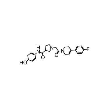 O=C(NC1=CCC(O)C=C1)C1CCN(CC(=O)N2CC=C(c3ccc(F)cc3)CC2)C1